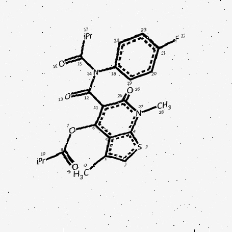 Cc1csc2c1c(OC(=O)C(C)C)c(C(=O)N(C(=O)C(C)C)c1ccc(F)cc1)c(=O)n2C